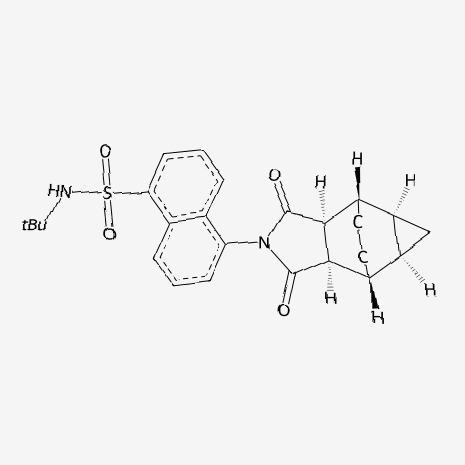 CC(C)(C)NS(=O)(=O)c1cccc2c(N3C(=O)[C@@H]4[C@@H]5CC[C@@H]([C@H]6C[C@H]65)[C@@H]4C3=O)cccc12